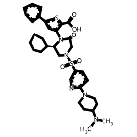 CN(C)C1CCN(c2ccc(S(=O)(=O)N3CC(=O)N(c4cc(-c5ccccc5)sc4C(=O)O)[C@H](C4CCCCC4)C3)cn2)CC1